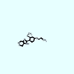 C=CCOc1ccc(-c2nc3cnncc3[nH]2)c(SC)c1